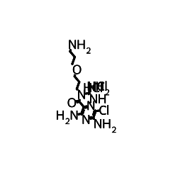 Cl.Cl.N=C(N)N(CCCOCCCN)C(=O)c1nc(Cl)c(N)nc1N